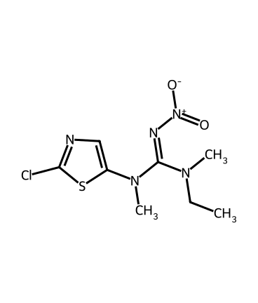 CCN(C)C(=N[N+](=O)[O-])N(C)c1cnc(Cl)s1